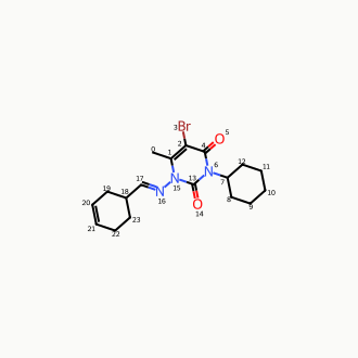 Cc1c(Br)c(=O)n(C2CCCCC2)c(=O)n1N=CC1CC=CCC1